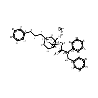 O=C(O[C@H]1C[N+]2(CCCc3ccccc3)CCC1CC2)N(Cc1ccccc1)c1ccccc1.[Br-]